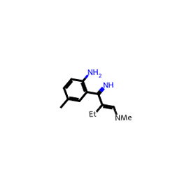 CC/C(=C\NC)C(=N)c1cc(C)ccc1N